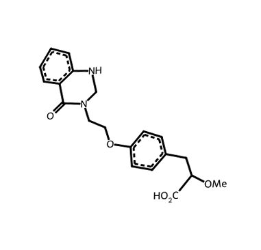 COC(Cc1ccc(OCCN2CNc3ccccc3C2=O)cc1)C(=O)O